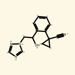 N#CC1(c2ccccc2C(O)Cn2cncn2)CC1